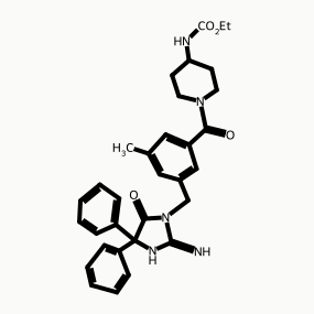 CCOC(=O)NC1CCN(C(=O)c2cc(C)cc(CN3C(=N)NC(c4ccccc4)(c4ccccc4)C3=O)c2)CC1